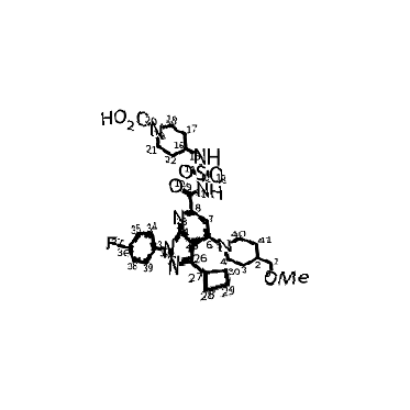 COCC1CCN(c2cc(C(=O)NS(=O)(=O)NC3CCN(C(=O)O)CC3)nc3c2c(C2CCC2)nn3-c2ccc(F)cc2)CC1